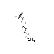 CCCCCCCCC[PH2]=O